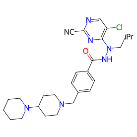 CC(C)CN(NC(=O)c1ccc(CN2CCC(N3CCCCC3)CC2)cc1)c1nc(C#N)ncc1Cl